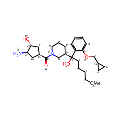 COCCCCC(O)(c1ccccc1OCC1CC1)[C@@H]1CCCN(C(=O)[C@H]2C[C@@H](N)[C@H](O)C2)C1